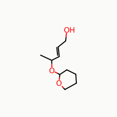 CC(C=CCO)OC1CCCCO1